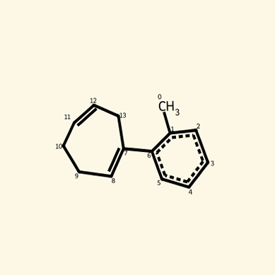 Cc1ccccc1C1=CCCC=CC1